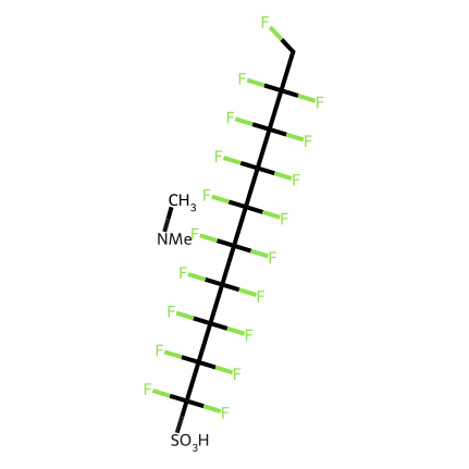 CNC.O=S(=O)(O)C(F)(F)C(F)(F)C(F)(F)C(F)(F)C(F)(F)C(F)(F)C(F)(F)C(F)(F)C(F)(F)CF